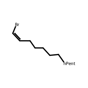 CCC[CH]CCCCCC/C=C\Br